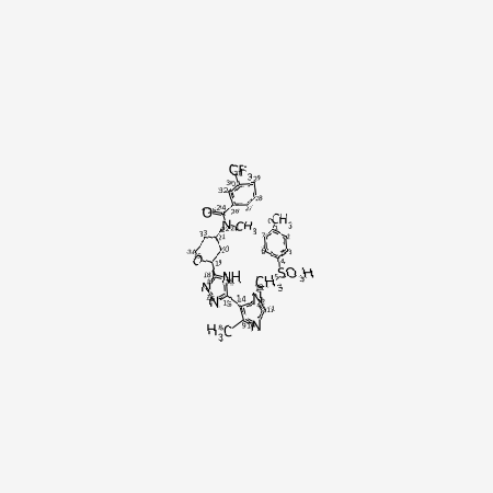 Cc1ccc(S(=O)(=O)O)cc1.Cc1ncn(C)c1-c1nnc([C@@H]2C[C@H](N(C)C(=O)c3cccc(C(F)(F)F)c3)CCO2)[nH]1